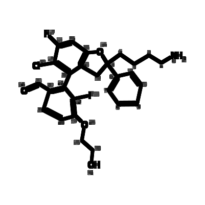 NCCCCC1(c2ccccc2)Cc2c(cc(F)c(Cl)c2-c2c(C=O)ccc(OCCO)c2F)O1